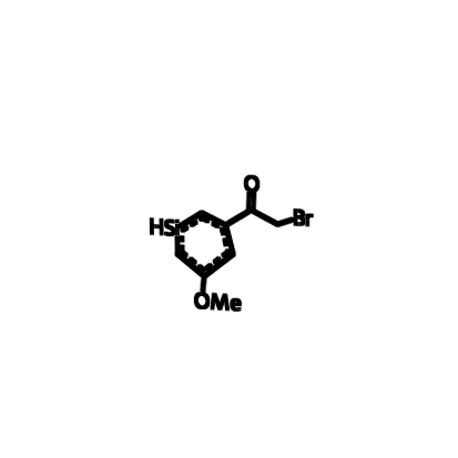 COc1c[siH]cc(C(=O)CBr)c1